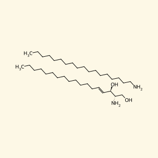 CCCCCCCCCCCCC/C=C/[C@@H](O)[C@@H](N)CO.CCCCCCCCCCCCCCCCCCN